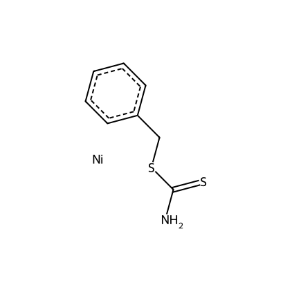 NC(=S)SCc1ccccc1.[Ni]